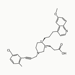 COc1ccc2nccc(CCC[C@@H]3CCN(CC#Cc4cc(Cl)ccc4C)C[C@@H]3CCC(=O)O)c2c1